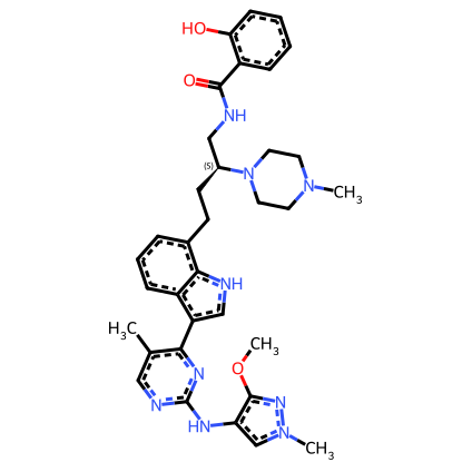 COc1nn(C)cc1Nc1ncc(C)c(-c2c[nH]c3c(CC[C@@H](CNC(=O)c4ccccc4O)N4CCN(C)CC4)cccc23)n1